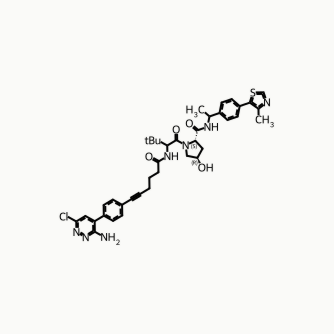 Cc1ncsc1-c1ccc(C(C)NC(=O)[C@@H]2C[C@@H](O)CN2C(=O)C(NC(=O)CCCC#Cc2ccc(-c3cc(Cl)nnc3N)cc2)C(C)(C)C)cc1